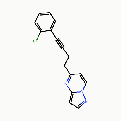 Clc1ccccc1C#CCCc1ccn2nccc2n1